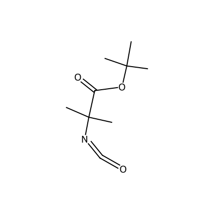 CC(C)(C)OC(=O)C(C)(C)N=C=O